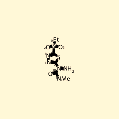 CCS(=O)(=O)c1nnc(N(N)C(=O)NC)s1